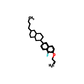 C=CCOc1ccc2cc(C3CCC4CC(CCCC)CCC4C3)ccc2c1F